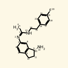 CC(=Nc1ccc2c(c1)[C@H](N)CC2)NCCc1ccc(F)cc1